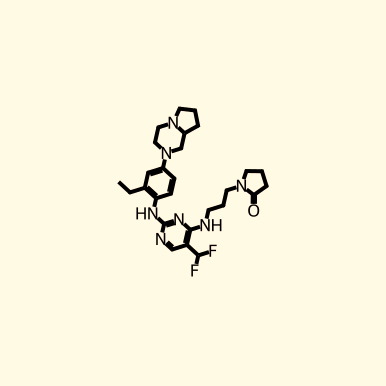 CCc1cc(N2CCN3CCCC3C2)ccc1Nc1ncc(C(F)F)c(NCCCN2CCCC2=O)n1